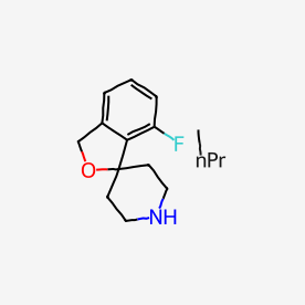 CCCC.Fc1cccc2c1C1(CCNCC1)OC2